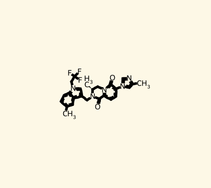 Cc1ccc2c(c1)c(CN1C(=O)c3ccc(-n4cnc(C)c4)c(=O)n3C[C@H]1C)cn2CC(F)(F)F